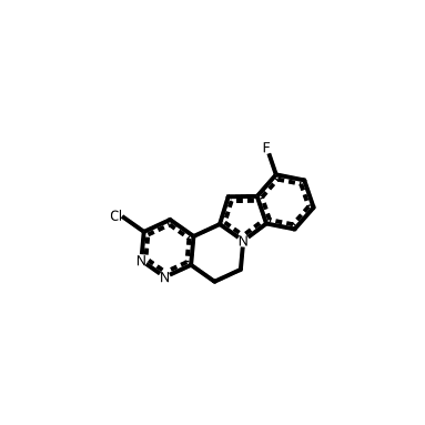 Fc1cccc2c1cc1n2CCc2nnc(Cl)cc2-1